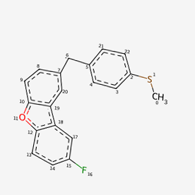 CSc1ccc([CH]c2ccc3oc4ccc(F)cc4c3c2)cc1